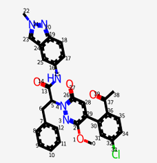 COc1nn(C(Cc2ccccc2)C(=O)Nc2ccc3nn(C)cc3c2)c(=O)cc1-c1cc(Cl)ccc1C(C)=O